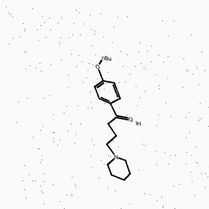 CCCCOc1ccc(C(=O)CCCN2CCCCC2)cc1.I